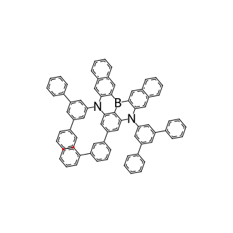 c1ccc(-c2cccc(-c3cc4c5c(c3)N(c3cc(-c6ccccc6)cc(-c6ccccc6)c3)c3cc6ccccc6cc3B5c3cc5ccccc5cc3N4c3cc(-c4ccccc4)cc(-c4ccccc4)c3)c2)cc1